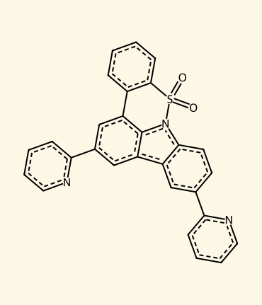 O=S1(=O)c2ccccc2-c2cc(-c3ccccn3)cc3c4cc(-c5ccccn5)ccc4n1c23